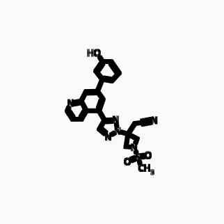 CS(=O)(=O)N1CC(CC#N)(n2ncc(-c3cc(-c4cccc(O)c4)cc4ncccc34)n2)C1